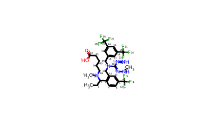 CCC(c1ccc(C(F)(F)F)cc1CN(Cc1cc(C(F)(F)F)cc(C(F)(F)F)c1)/C(N=N)=N/NC)N(C)CCCCC(=O)O